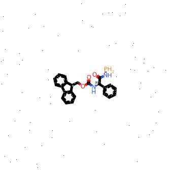 O=C(N[C@@H](C(=O)NP)c1ccccc1)OCC1c2ccccc2-c2ccccc21